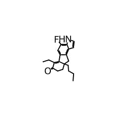 CCCCC12CCC(=O)C(CC)=C1c1cc(F)c3[nH]ccc3c1C2